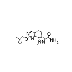 CC(=O)COc1ncc2c(n1)-c1c(c(C(N)=O)nn1C)CC2